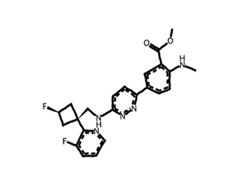 CNc1ccc(-c2ccc(NC[C@]3(c4ncccc4F)C[C@H](F)C3)nn2)cc1C(=O)OC